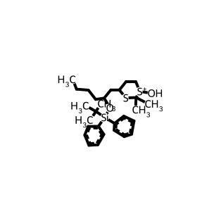 CCCCC(CC1CC[S+](O)C(C)(C)S1)O[Si](c1ccccc1)(c1ccccc1)C(C)(C)C